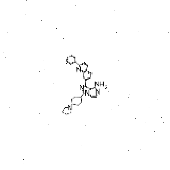 Nc1nccn2c(C3CCC(N4CCCC4)CC3)nc(-c3ccc4ccc(-c5ccccc5)nc4c3)c12